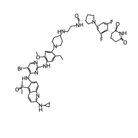 CCc1cc(Nc2ncc(Br)c(Nc3ccc4nc(NC5CC5)ccc4c3P(C)(C)=O)n2)c(OC)cc1N1CCC(NCCNC(=O)[C@@H]2CCN(c3cc(F)c([C@H]4CCC(=O)NC4=O)c(F)c3)C2)CC1